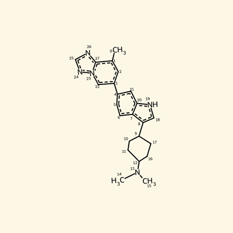 Cc1cc(-c2ccc3c(C4CCC(N(C)C)CC4)c[nH]c3c2)cn2ncnc12